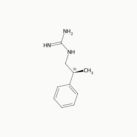 C[C@H](CNC(=N)N)c1ccccc1